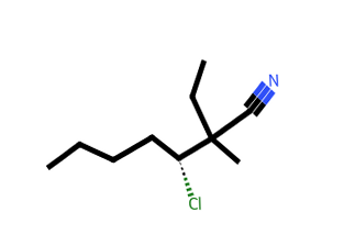 CCCC[C@@H](Cl)C(C)(C#N)CC